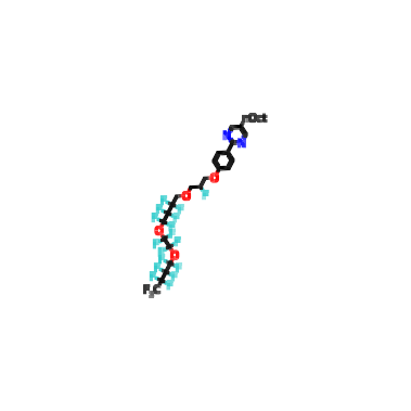 CCCCCCCCc1cnc(-c2ccc(OCC(F)COCC(F)(F)C(F)(F)C(F)(F)OC(F)(F)C(F)(F)OC(F)(F)C(F)(F)C(F)(F)C(F)(F)F)cc2)nc1